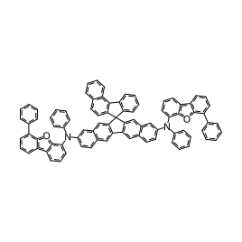 c1ccc(-c2cccc3c2oc2c(N(c4ccccc4)c4ccc5cc6c(cc5c4)C4(c5cc7cc(N(c8ccccc8)c8cccc9c8oc8c(-c%10ccccc%10)cccc89)ccc7cc5-6)c5ccccc5-c5c4ccc4ccccc54)cccc23)cc1